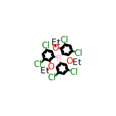 CCOc1c(Cl)cc(Cl)cc1B(c1cc(Cl)cc(Cl)c1OCC)c1cc(Cl)cc(Cl)c1OCC